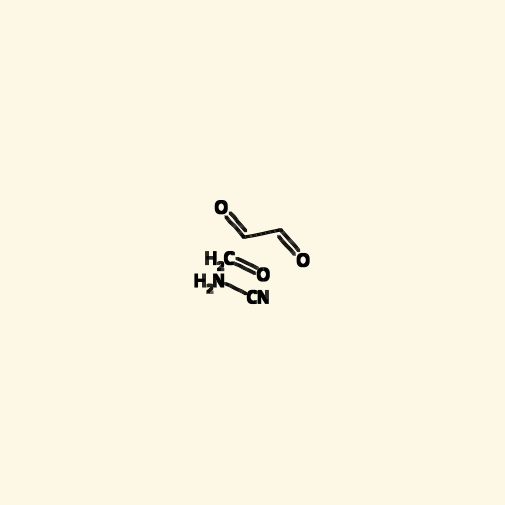 C=O.N#CN.O=CC=O